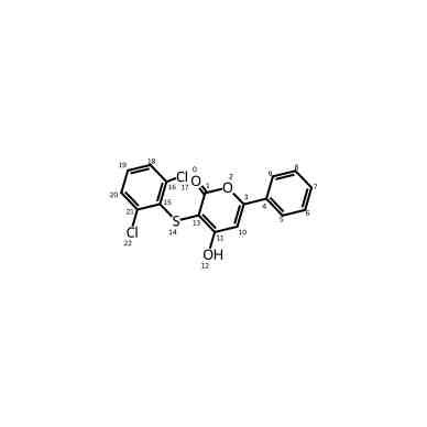 O=c1oc(-c2ccccc2)cc(O)c1Sc1c(Cl)cccc1Cl